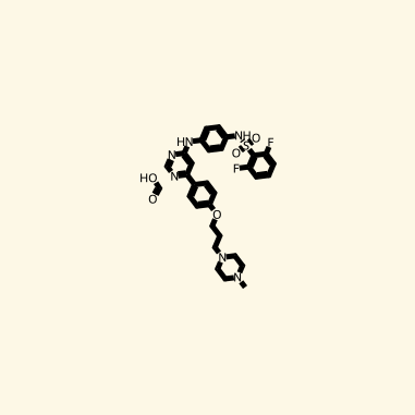 CN1CCN(CCCOc2ccc(-c3cc(Nc4ccc(NS(=O)(=O)c5c(F)cccc5F)cc4)ncn3)cc2)CC1.O=CO